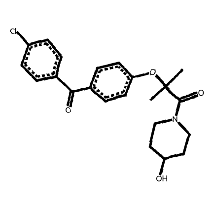 CC(C)(Oc1ccc(C(=O)c2ccc(Cl)cc2)cc1)C(=O)N1CCC(O)CC1